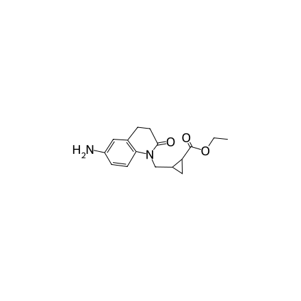 CCOC(=O)C1CC1CN1C(=O)CCc2cc(N)ccc21